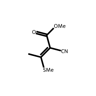 COC(=O)/C(C#N)=C(\C)SC